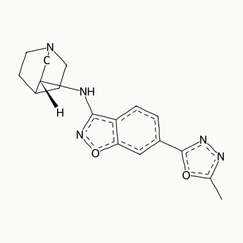 Cc1nnc(-c2ccc3c(N[C@H]4CN5CCC4CC5)noc3c2)o1